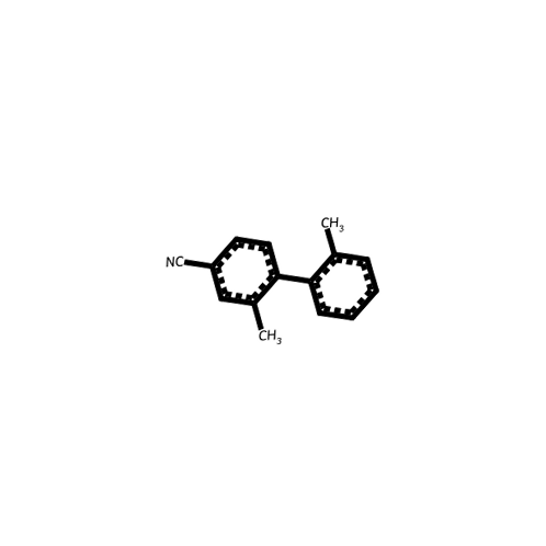 Cc1ccccc1-c1ccc(C#N)cc1C